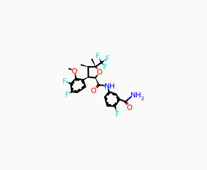 COc1c([C@H]2[C@@H](C)[C@](C)(C(F)(F)F)O[C@H]2C(=O)Nc2ccc(F)c(C(N)=O)c2)ccc(F)c1F